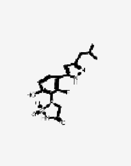 CC(C)Cc1cc(-c2ccc(O)c(N3CC(=O)NS3(=O)=O)c2F)[nH]n1